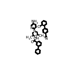 CC1CN(c2ccc(N)cn2)CC(C)O1.N#Cc1ccc(-c2ccccc2Cl)cc1.O=C(O)c1cccc(-c2ccccc2)c1